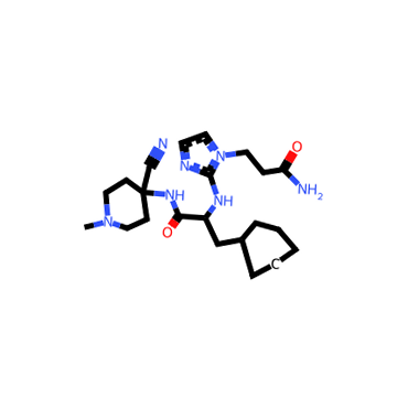 CN1CCC(C#N)(NC(=O)C(CC2CCCCC2)Nc2nccn2CCC(N)=O)CC1